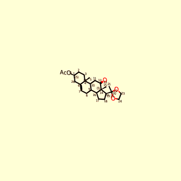 CC(=O)O[C@H]1CC[C@@]2(C)C(=CCC3C2CC(=O)[C@@]2(C)C3CC[C@@H]2C2(C)OCCO2)C1